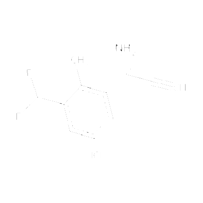 C#C[C@@H](N)c1cccc(C(F)F)c1C.Cl